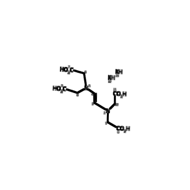 O=C(O)CN(C=CN(CC(=O)O)CC(=O)O)CC(=O)O.[KH].[KH]